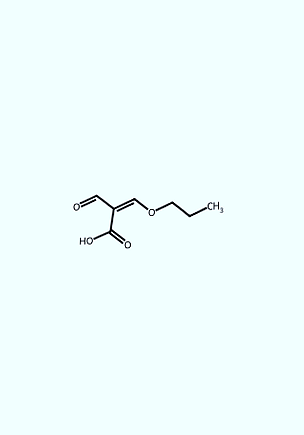 CCCOC=C(C=O)C(=O)O